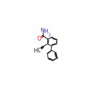 C#Cc1c(C(N)=O)cccc1-c1ccccc1